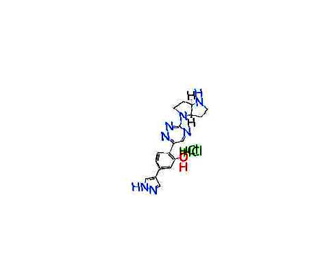 Cl.Cl.Oc1cc(-c2cn[nH]c2)ccc1-c1cnc(N2CC[C@H]3NCC[C@@H]32)nn1